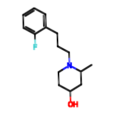 CC1CC(O)CCN1CCCc1ccccc1F